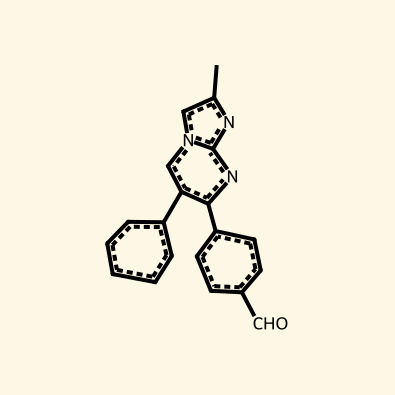 Cc1cn2cc(-c3ccccc3)c(-c3ccc(C=O)cc3)nc2n1